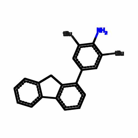 CC(C)(C)c1cc(-c2cccc3c2Cc2ccccc2-3)cc(C(C)(C)C)c1N